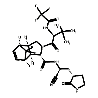 CC(C)(C)[C@H](NC(=O)C(F)(F)F)C(=O)N1C[C@H]2[C@@H]([C@H]1C(=O)N[C@H](C#N)C[C@@H]1CCNC1=O)[C@H]1C=C[C@@H]2C1(F)F